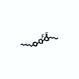 CCC/C=C/CCc1ccc(C2CC=C(c3ccc(CCCCC)c(F)c3F)CC2)cc1